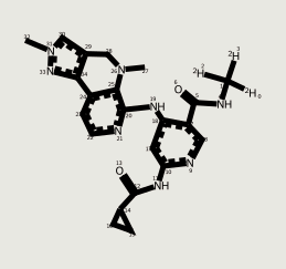 [2H]C([2H])([2H])NC(=O)c1cnc(NC(=O)C2CC2)cc1Nc1nccc2c1N(C)Cc1cn(C)nc1-2